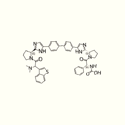 CN(C)C(C(=O)N1CCC[C@H]1c1ncc(-c2ccc(-c3ccc(-c4cnc([C@@H]5CCCN5C(=O)[C@H](NC(=O)O)c5ccccc5)[nH]4)cc3)cc2)[nH]1)c1csc2ccccc12